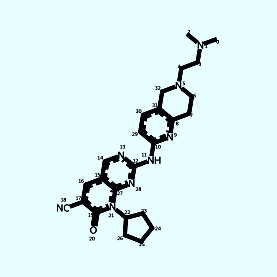 CN(C)CCN1CCc2nc(Nc3ncc4cc(C#N)c(=O)n(C5CCCC5)c4n3)ccc2C1